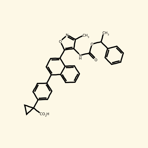 Cc1noc(-c2ccc(-c3ccc(C4(C(=O)O)CC4)cc3)c3ccccc23)c1NC(=O)OC(C)c1ccccc1